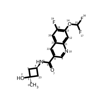 C[C@]1(O)C[C@@H](NC(=O)c2cnc3cc(OC(F)F)c(F)cc3c2)C1